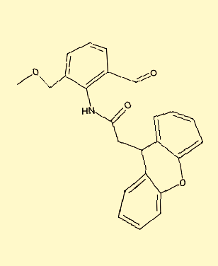 COCc1cccc(C=O)c1NC(=O)CC1c2ccccc2Oc2ccccc21